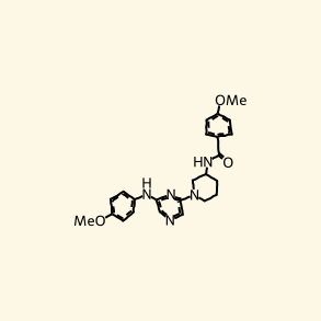 COc1ccc(Nc2cncc(N3CCCC(NC(=O)c4ccc(OC)cc4)C3)n2)cc1